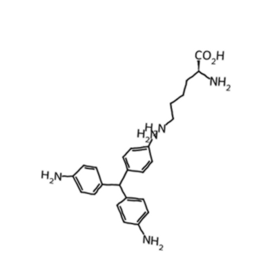 NCCCC[C@H](N)C(=O)O.Nc1ccc(C(c2ccc(N)cc2)c2ccc(N)cc2)cc1